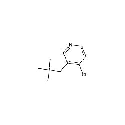 CC(C)(C)Cc1cnccc1Cl